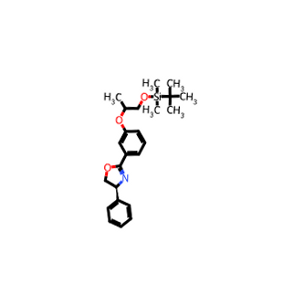 CC(CO[Si](C)(C)C(C)(C)C)Oc1cccc(C2=N[C@@H](c3ccccc3)CO2)c1